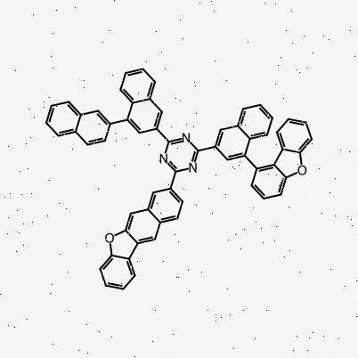 c1ccc2cc(-c3cc(-c4nc(-c5ccc6cc7c(cc6c5)oc5ccccc57)nc(-c5cc(-c6cccc7oc8ccccc8c67)c6ccccc6c5)n4)cc4ccccc34)ccc2c1